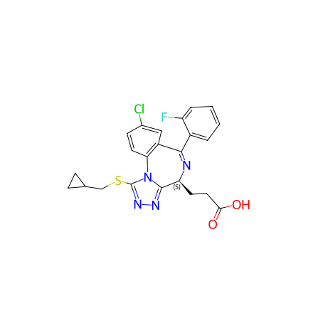 O=C(O)CC[C@@H]1N=C(c2ccccc2F)c2cc(Cl)ccc2-n2c(SCC3CC3)nnc21